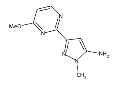 COc1ccnc(-c2cc(N)n(C)n2)n1